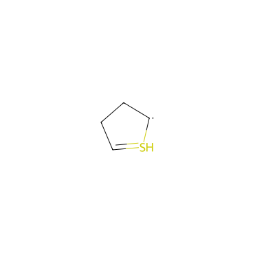 [CH]1CCC=[SH]1